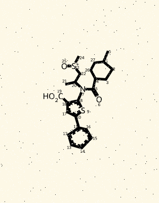 CC1CCC(C(=O)N(c2sc(-c3ccccc3)cc2C(=O)O)C(C)C[S+](C)[O-])CC1